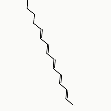 [CH2]C=CC=CC=CC=CC=CCCCC